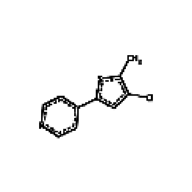 Cc1sc(-c2ccncc2)cc1Cl